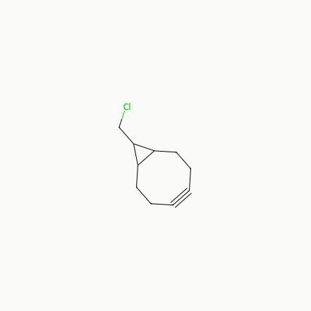 ClCC1C2CCC#CCCC12